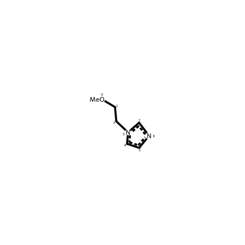 COCCn1c[c]nc1